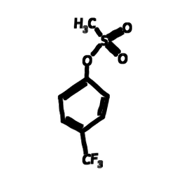 CS(=O)(=O)Oc1ccc(C(F)(F)F)cc1